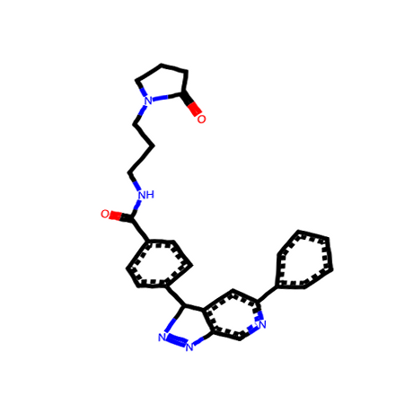 O=C(NCCCN1CCCC1=O)c1ccc(C2N=Nc3cnc(-c4ccccc4)cc32)cc1